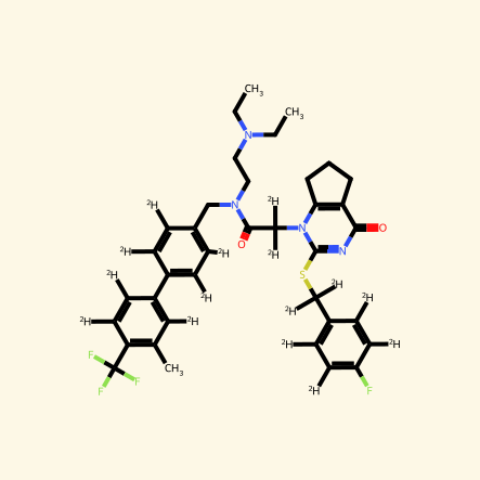 [2H]c1c([2H])c(C([2H])([2H])Sc2nc(=O)c3c(n2C([2H])([2H])C(=O)N(CCN(CC)CC)Cc2c([2H])c([2H])c(-c4c([2H])c([2H])c(C(F)(F)F)c(C)c4[2H])c([2H])c2[2H])CCC3)c([2H])c([2H])c1F